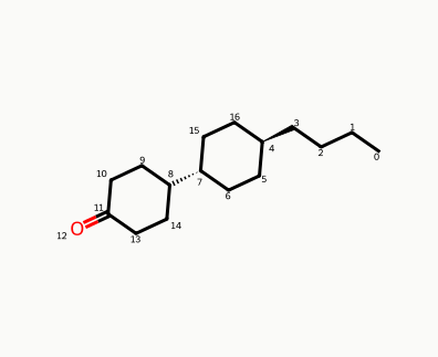 CCCC[C@H]1CC[C@H](C2CCC(=O)CC2)CC1